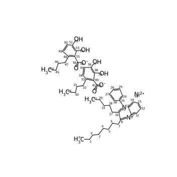 CCCCCCCCC(=Nc1ccccc1)C(CCCCC)=Nc1ccccc1.CCCCc1ccc(O)c(O)c1C(=O)[O-].CCCCc1ccc(O)c(O)c1C(=O)[O-].[Ni+2]